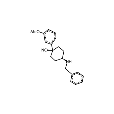 COc1cccc([C@]2(C#N)CC[C@@H](NCc3ccccc3)CC2)c1